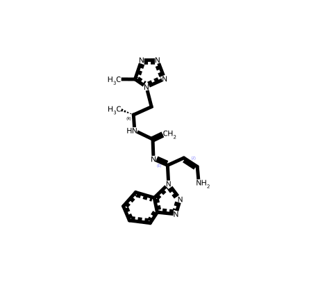 C=C(/N=C(\C=C/N)n1nnc2ccccc21)N[C@H](C)Cn1nnnc1C